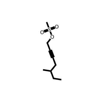 CCC(C)CC#CCOS(C)(=O)=O